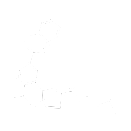 CC(N)c1ccc(C(=O)Nc2ccncc2F)cc1-c1cccc(C(=O)OCCCO)c1